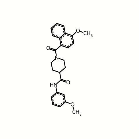 COc1cccc(NC(=O)C2CCN(C(=O)c3ccc(OC)c4ccccc34)CC2)c1